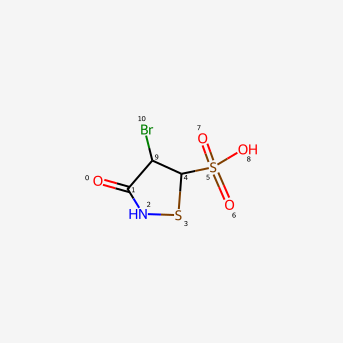 O=C1NSC(S(=O)(=O)O)C1Br